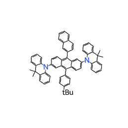 CC(C)(C)c1ccc(-c2c3ccc(N4c5ccccc5C(C)(C)c5ccccc54)cc3c(-c3ccc4ccccc4c3)c3ccc(N4c5ccccc5C(C)(C)c5ccccc54)cc23)cc1